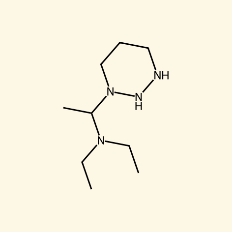 CCN(CC)C(C)N1CCCNN1